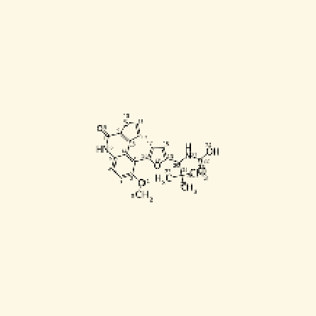 COc1ccc2[nH]c(=O)c3sccc3c2c1-c1ccc(C(NC(=O)O)C(C)(C)C)o1